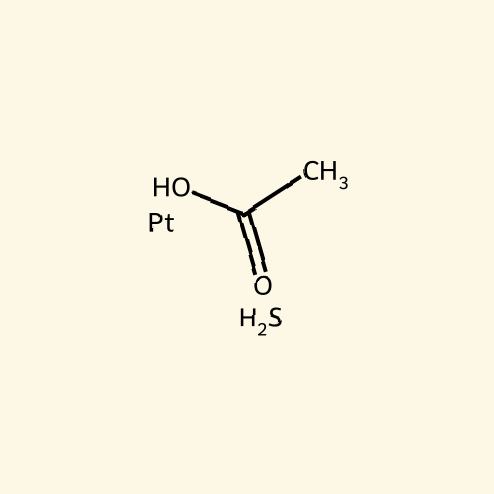 CC(=O)O.S.[Pt]